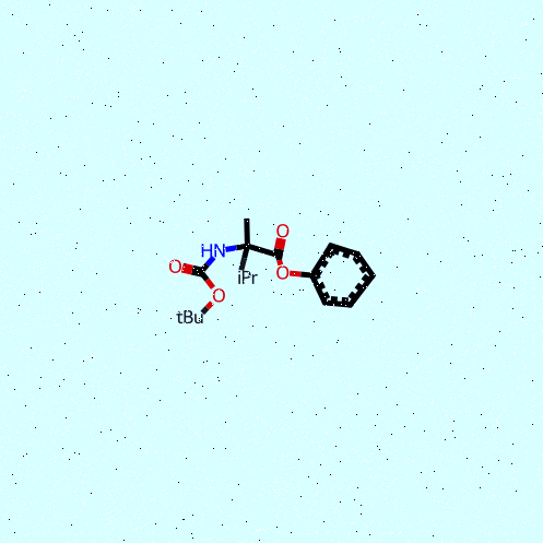 CC(C)C(C)(NC(=O)OC(C)(C)C)C(=O)Oc1ccccc1